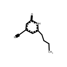 CCCCc1cc(C#N)cc(=O)[nH]1